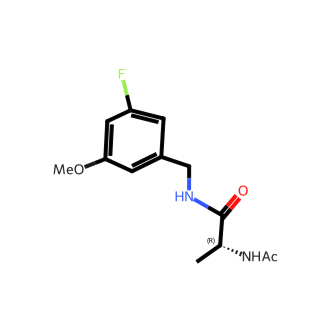 COc1cc(F)cc(CNC(=O)[C@@H](C)NC(C)=O)c1